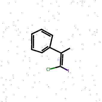 C/C(=C(/Cl)I)c1ccccc1